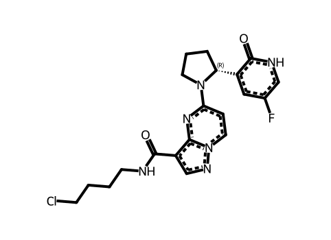 O=C(NCCCCCl)c1cnn2ccc(N3CCC[C@@H]3c3cc(F)c[nH]c3=O)nc12